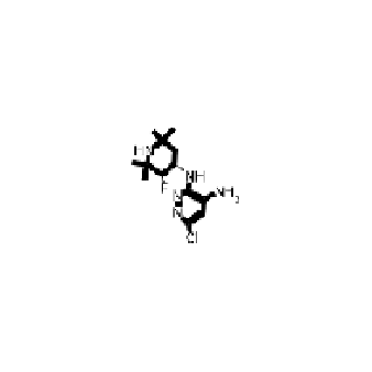 CC1(C)C[C@H](Nc2nnc(Cl)cc2N)[C@H](F)C(C)(C)N1